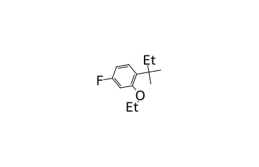 CCOc1cc(F)ccc1C(C)(C)CC